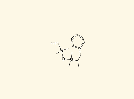 C=C[Si](C)(C)O[Si](C)(C)C(C)Cc1ccccc1